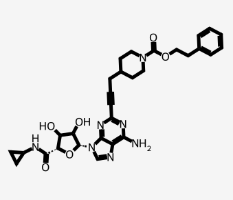 Nc1nc(C#CCC2CCN(C(=O)OCCc3ccccc3)CC2)nc2c1ncn2[C@@H]1O[C@H](C(=O)NC2CC2)C(O)C1O